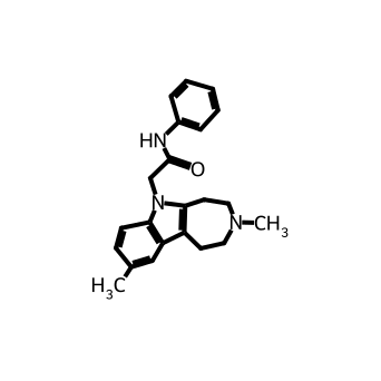 Cc1ccc2c(c1)c1c(n2CC(=O)Nc2ccccc2)CCN(C)CC1